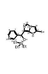 CC[Si](CC)(CC)OC(c1cccnc1)c1ncn2cc(I)sc12